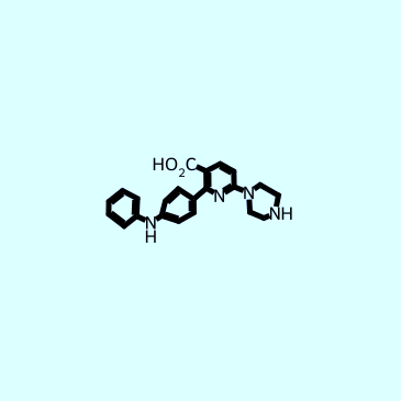 O=C(O)c1ccc(N2CCNCC2)nc1-c1ccc(Nc2ccccc2)cc1